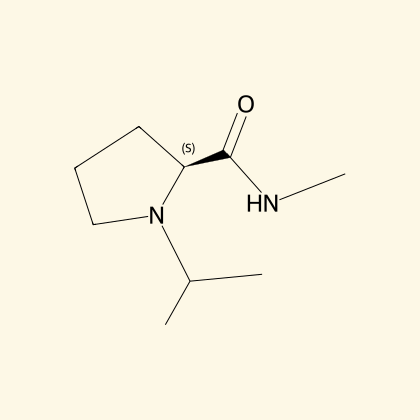 CNC(=O)[C@@H]1CCCN1C(C)C